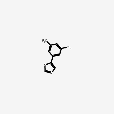 FC(F)(F)c1cc(-c2cn[c]s2)cc(C(F)(F)F)c1